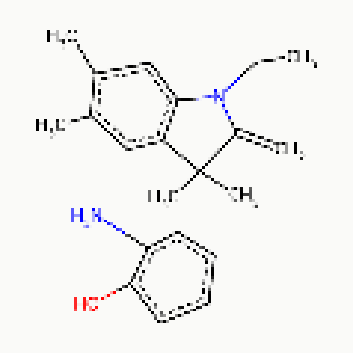 C=C1N(CC)c2cc(C)c(C)cc2C1(C)C.Nc1ccccc1O